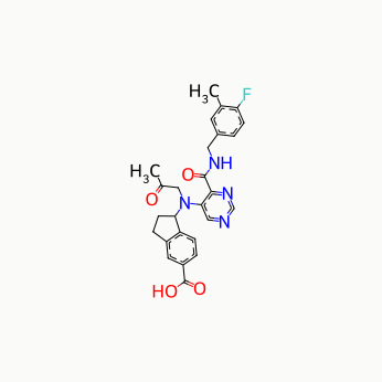 CC(=O)CN(c1cncnc1C(=O)NCc1ccc(F)c(C)c1)C1CCc2cc(C(=O)O)ccc21